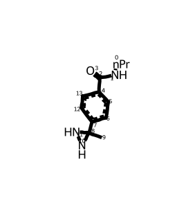 CCCNC(=O)c1ccc(C2(C)NN2)cc1